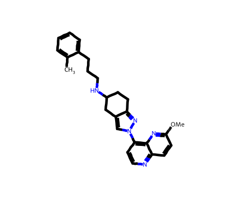 COc1ccc2nccc(-n3cc4c(n3)CCC(NCCCc3ccccc3C)C4)c2n1